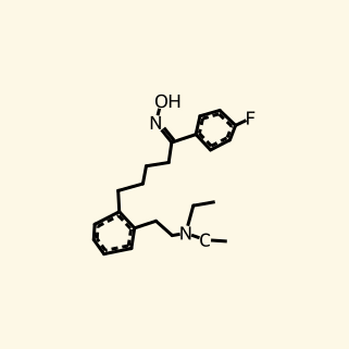 CCN(CC)CCc1ccccc1CCCCC(=NO)c1ccc(F)cc1